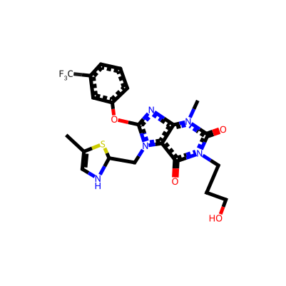 CC1=CNC(Cn2c(Oc3cccc(C(F)(F)F)c3)nc3c2c(=O)n(CCCO)c(=O)n3C)S1